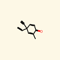 C#CC1(C=C)C=CC(=O)C(C)=C1